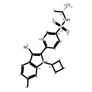 Cc1ccc2c(C#N)c(-c3ccc(S(=O)(=O)N[C@H](C)C(F)(F)F)cn3)n(C3CCC3)c2c1